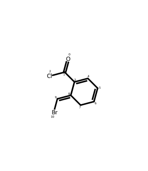 O=C(Cl)C1=CC=CCC1=CBr